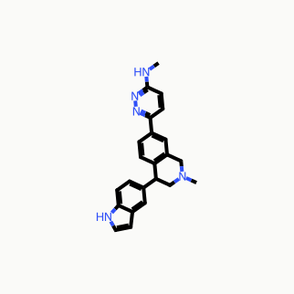 CNc1ccc(-c2ccc3c(c2)CN(C)CC3c2ccc3[nH]ccc3c2)nn1